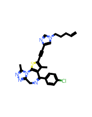 C=CCCCn1cnc(C#Cc2sc3c(c2C)C(c2ccc(Cl)cc2)=NCc2nnc(C)n2-3)c1